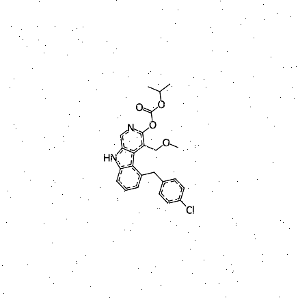 COCc1c(OC(=O)OC(C)C)ncc2[nH]c3cccc(Cc4ccc(Cl)cc4)c3c12